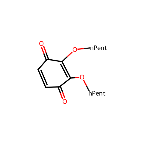 CCCCCOC1=C(OCCCCC)C(=O)C=CC1=O